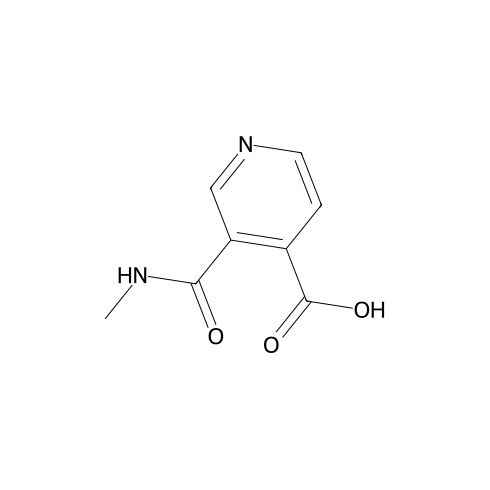 CNC(=O)c1cnccc1C(=O)O